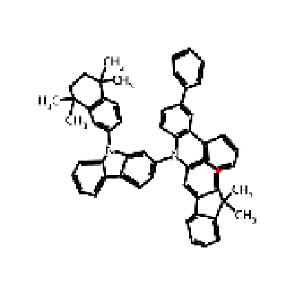 CC1(C)CCC(C)(C)c2cc(-n3c4ccccc4c4ccc(N(c5ccc6c(c5)-c5ccccc5C6(C)C)c5ccc(-c6ccccc6)cc5-c5ccccc5)cc43)ccc21